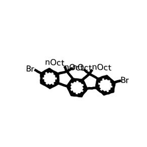 CCCCCCCCC1(CCCCCCCC)c2cc(Br)ccc2-c2ccc3c(c21)C(CCCCCCCC)(CCCCCCCC)c1cc(Br)ccc1-3